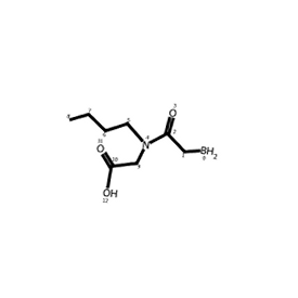 BCC(=O)N(CCCC)CC(=O)O